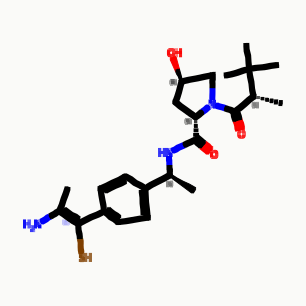 C/C(N)=C(/S)c1ccc([C@H](C)NC(=O)[C@@H]2C[C@@H](O)CN2C(=O)[C@@H](C)C(C)(C)C)cc1